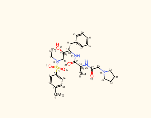 COc1ccc(S(=O)(=O)N(CC(C)C)C[C@@H](O)[C@H](Cc2ccccc2)NC(=O)[C@@H](NC(=O)CN2CCCC2)C(C)(C)C)cc1